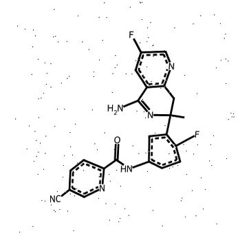 CC1(c2cc(NC(=O)c3ccc(C#N)cn3)ccc2F)Cc2ncc(F)cc2C(N)=N1